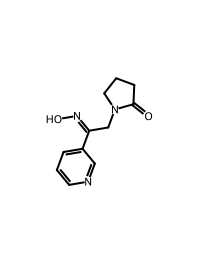 O=C1CCCN1C/C(=N/O)c1cccnc1